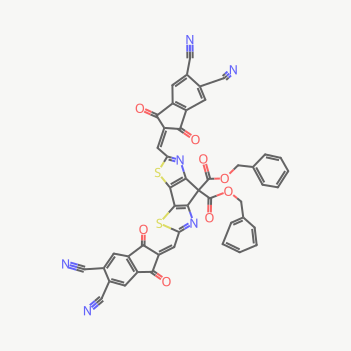 N#Cc1cc2c(cc1C#N)C(=O)C(=Cc1nc3c(s1)-c1sc(C=C4C(=O)c5cc(C#N)c(C#N)cc5C4=O)nc1C3(C(=O)OCc1ccccc1)C(=O)OCc1ccccc1)C2=O